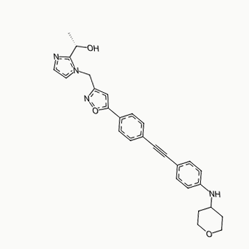 C[C@H](O)c1nccn1Cc1cc(-c2ccc(C#Cc3ccc(NC4CCOCC4)cc3)cc2)on1